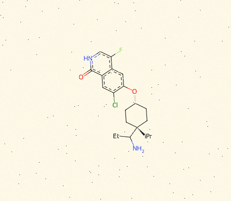 CCC(N)[C@]1(C(C)C)CC[C@H](Oc2cc3c(F)c[nH]c(=O)c3cc2Cl)CC1